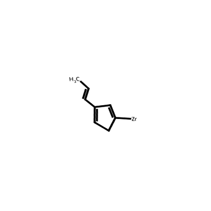 CC=CC1=CC[C]([Zr])=C1